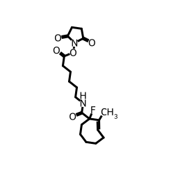 C/C1=C\CCCCCC1(F)C(=O)NCCCCCC(=O)ON1C(=O)CCC1=O